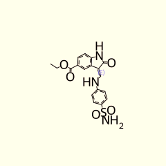 CCOC(=O)c1ccc2c(c1)/C(=C\Nc1ccc(S(N)(=O)=O)cc1)C(=O)N2